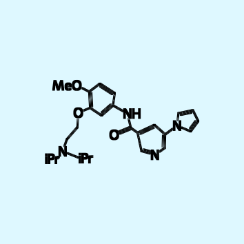 COc1ccc(NC(=O)c2cncc(-n3cccc3)c2)cc1OCCN(C(C)C)C(C)C